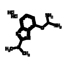 CN(C)c1nc2c(OC(N)N)cccc2s1.Cl.Cl